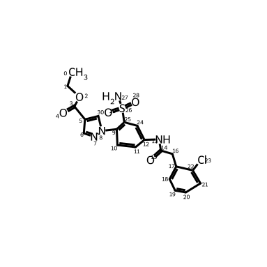 CCOC(=O)c1cnn(-c2ccc(NC(=O)Cc3ccccc3Cl)cc2S(N)(=O)=O)c1